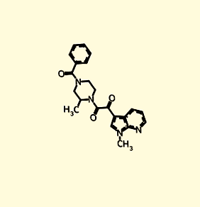 CC1CN(C(=O)c2ccccc2)CCN1C(=O)C(=O)c1cn(C)c2ncccc12